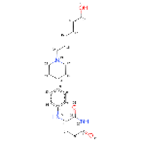 O=C1CCC(Nc2ccc(C3CCN(CCCCCCO)CC3)cc2)C(=O)N1